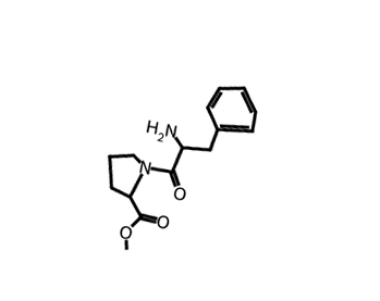 COC(=O)C1CCCN1C(=O)C(N)Cc1ccccc1